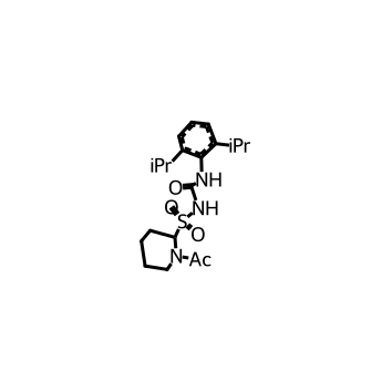 CC(=O)N1CCCCC1S(=O)(=O)NC(=O)Nc1c(C(C)C)cccc1C(C)C